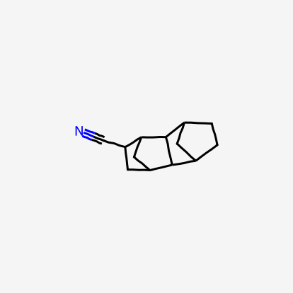 N#CC1CC2CC1C1C3CCC(C3)C21